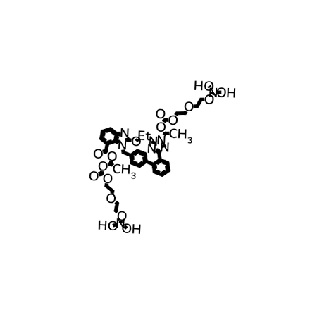 CCOc1nc2cccc(C(=O)OC(C)OC(=O)OCCOCCON(O)O)c2n1Cc1ccc(-c2ccccc2-c2nnn(C(C)OC(=O)OCCOCCON(O)O)n2)cc1